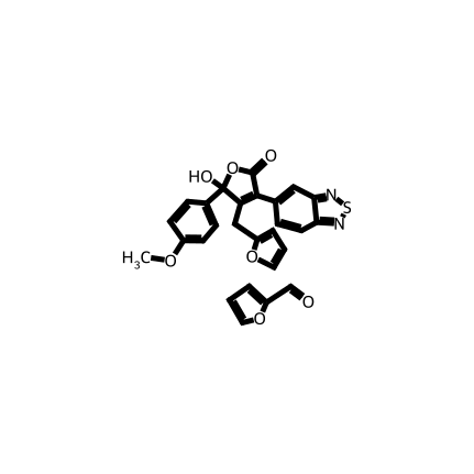 COc1ccc(C2(O)OC(=O)C(c3ccc4nsnc4c3)=C2Cc2ccco2)cc1.O=Cc1ccco1